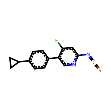 Fc1cc(N=C=S)ncc1-c1ccc(C2CC2)cc1